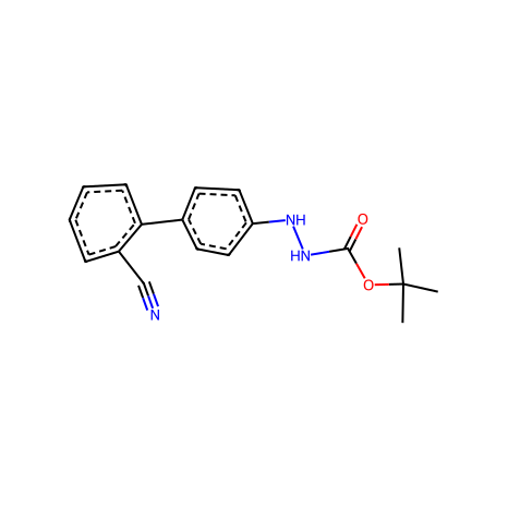 CC(C)(C)OC(=O)NNc1ccc(-c2ccccc2C#N)cc1